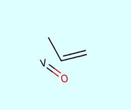 C=CC.[O]=[V]